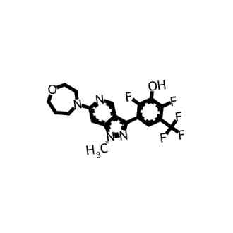 Cn1nc(-c2cc(C(F)(F)F)c(F)c(O)c2F)c2cnc(N3CCCOCC3)cc21